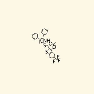 CC(=O)Oc1c(CSc2nc(-c3ccccc3)c(-c3ccccc3)[nH]2)sc2ccc(C(F)(F)F)cc12